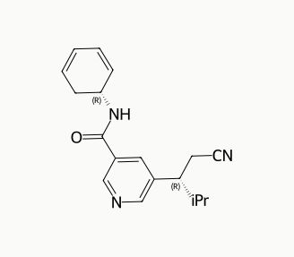 CC(C)[C@@H](CC#N)c1cncc(C(=O)N[C@H]2C=CC=CC2)c1